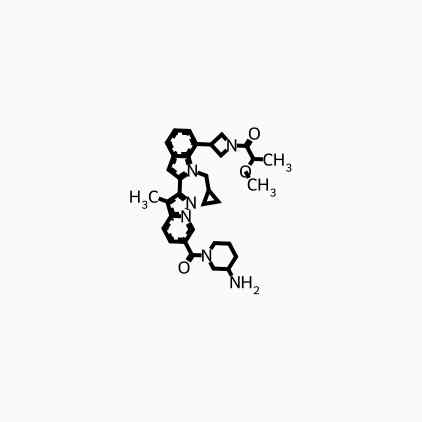 COC(C)C(=O)N1CC(c2cccc3cc(-c4nn5cc(C(=O)N6CCCC(N)C6)ccc5c4C)n(CC4CC4)c23)C1